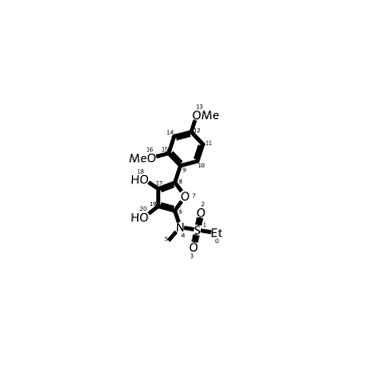 CCS(=O)(=O)N(C)c1oc(-c2ccc(OC)cc2OC)c(O)c1O